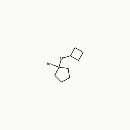 CC(=O)C1(OC2CCC2)CCCC1